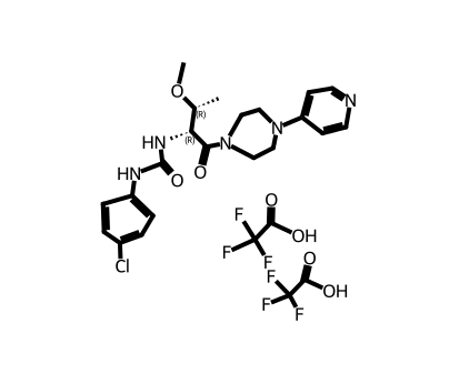 CO[C@H](C)[C@@H](NC(=O)Nc1ccc(Cl)cc1)C(=O)N1CCN(c2ccncc2)CC1.O=C(O)C(F)(F)F.O=C(O)C(F)(F)F